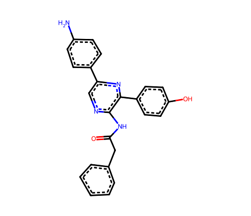 Nc1ccc(-c2cnc(NC(=O)Cc3ccccc3)c(-c3ccc(O)cc3)n2)cc1